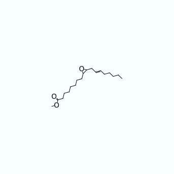 CCCCC/C=C/CC1OC1CCCCCCCC(=O)OC